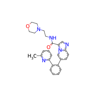 Cc1cccc(-c2ccccc2-c2ccc3ncc(C(=O)NCCN4CCOCC4)n3c2)n1